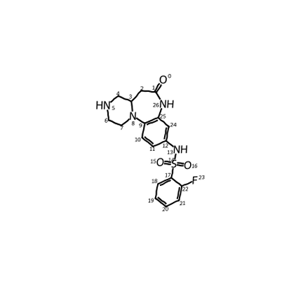 O=C1CC2CNCCN2c2ccc(NS(=O)(=O)c3ccccc3F)cc2N1